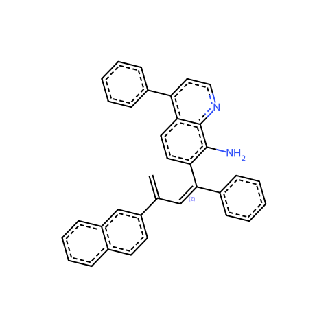 C=C(/C=C(/c1ccccc1)c1ccc2c(-c3ccccc3)ccnc2c1N)c1ccc2ccccc2c1